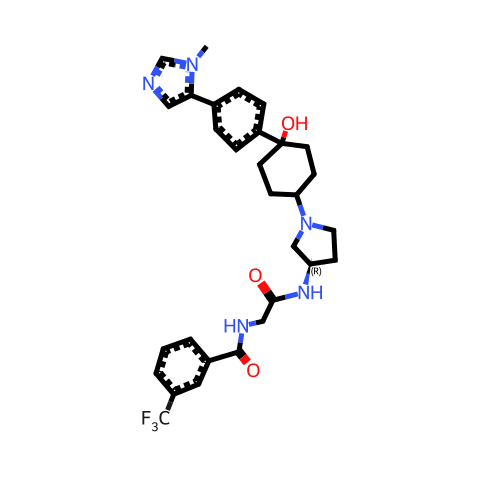 Cn1cncc1-c1ccc(C2(O)CCC(N3CC[C@@H](NC(=O)CNC(=O)c4cccc(C(F)(F)F)c4)C3)CC2)cc1